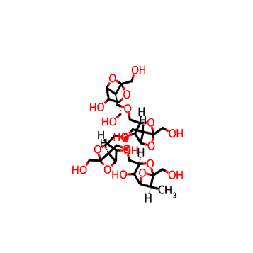 C[C@H]1C2OC1(CO)O[C@H](COC[C@H]1C3OC1(CO)O[C@H](COC[C@H]1C4OC1(CO)O[C@H](COC[C@H]1C5OC1(CO)O[C@H](CO)C5O)C4O)C3O)C2O